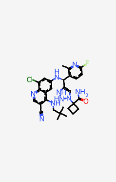 Cc1nc(F)ccc1[C@H](Nc1cc(Cl)c2ncc(C#N)c(NCC(C)(C)C)c2c1)C1=CN(C2(C(N)=O)CCC2)NN1